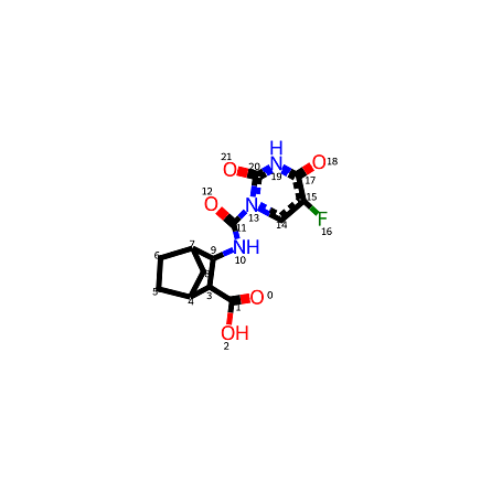 O=C(O)C1C2CCC(C2)C1NC(=O)n1cc(F)c(=O)[nH]c1=O